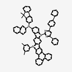 Cc1cc(C)cc(-n2c3cc4c5ccccc5c5ccccc5c4cc3c3cc4c(cc32)c2cc(N(c3ccc5c(c3)C(C)(C)c3ccccc3-5)c3ccc5ccccc5c3)ccc2n4-c2nc(-c3ccccc3)cc(-c3ccc(-c4ccccc4)cc3)n2)c1